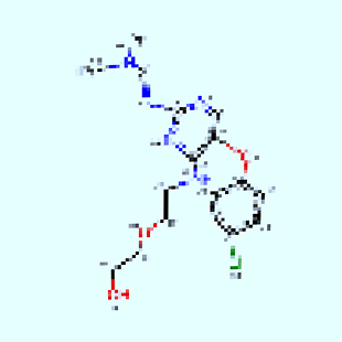 CC(C)N(/C=N/c1ncc(Oc2ccc(Cl)cc2)c(NCCOCCO)n1)C(C)C